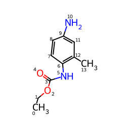 CCOC(=O)Nc1ccc(N)cc1C